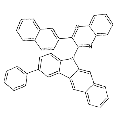 c1ccc(-c2ccc3c(c2)c2cc4ccccc4cc2n3-c2nc3ccccc3nc2-c2ccc3ccccc3c2)cc1